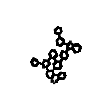 Nc1ccccc1-c1cccc(-c2nc(-c3ccccc3)nc(-c3ccccc3-c3ccccc3-c3ccc(-n4c(-c5cccc(-c6ccccc6)c5)nc5ccccc54)cc3)n2)c1